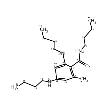 CCCCNC(=O)c1c(C)cc(NCCCC)nc1NCCCC